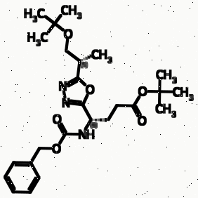 C[C@@H](COC(C)(C)C)c1nnc([C@H](CCC(=O)OC(C)(C)C)NC(=O)OCc2ccccc2)o1